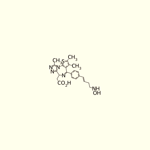 Cc1sc2c(c1C)C(c1ccc(C=CCCNO)cc1)=NC(CC(=O)O)c1nnc(C)n1-2